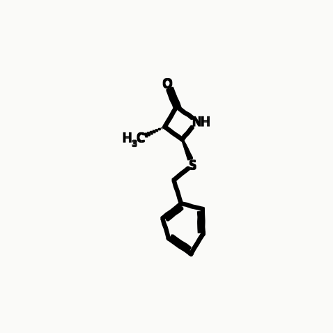 C[C@@H]1C(=O)N[C@H]1SCc1ccccc1